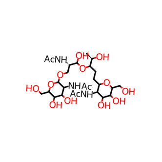 CC(=O)NC1C(CCC(OC(O)[C@H](COC2OC(CO)C(O)C(O)C2NC(C)=O)NC(C)=O)[C@@H](C)O)OC(CO)C(O)C1O